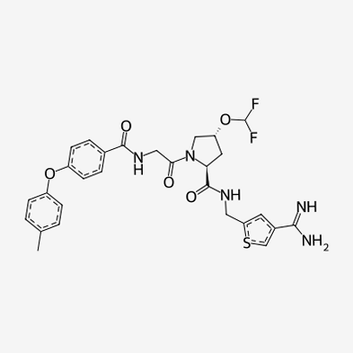 Cc1ccc(Oc2ccc(C(=O)NCC(=O)N3C[C@H](OC(F)F)C[C@H]3C(=O)NCc3cc(C(=N)N)cs3)cc2)cc1